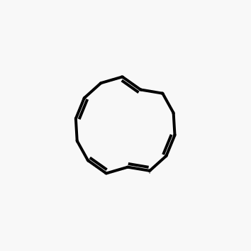 [C]1=C/C=C\C/C=C\C/C=C/CC\C=C/1